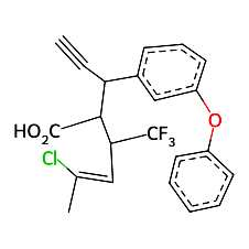 C#CC(c1cccc(Oc2ccccc2)c1)C(C(=O)O)C(C=C(C)Cl)C(F)(F)F